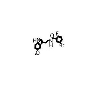 COc1ccc2[nH]cc(CCNC(=O)c3cc(Br)ccc3F)c2c1